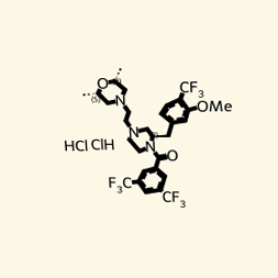 COc1cc(C[C@@H]2CN(CCN3C[C@@H](C)O[C@@H](C)C3)CCN2C(=O)c2cc(C(F)(F)F)cc(C(F)(F)F)c2)ccc1C(F)(F)F.Cl.Cl